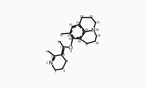 CC1=NCCC/C1=C(/C)Oc1c(C)cc2c3c1CCCN3CCC2